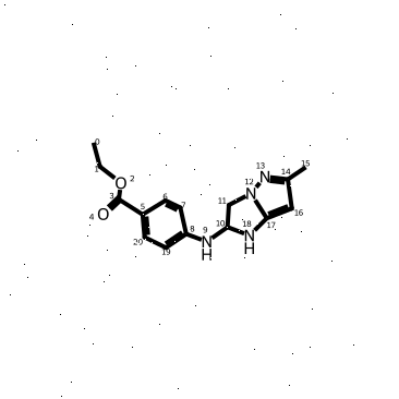 CCOC(=O)c1ccc(NC2Cn3nc(C)cc3N2)cc1